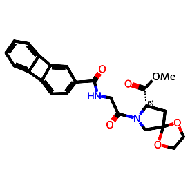 COC(=O)[C@@H]1CC2(CN1C(=O)CNC(=O)c1ccc3c(c1)-c1ccccc1-3)OCCO2